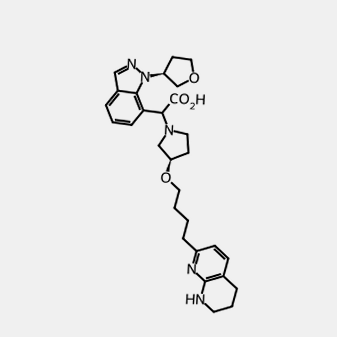 O=C(O)C(c1cccc2cnn([C@H]3CCOC3)c12)N1CC[C@@H](OCCCCc2ccc3c(n2)NCCC3)C1